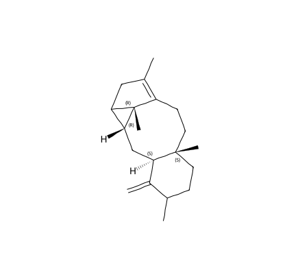 C=C1C(C)CC[C@@]2(C)CCC3=C(C)CC4[C@@H](C[C@H]12)[C@@]34C